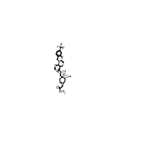 CCN(Cc1ccc(C(F)(F)F)cc1F)c1ncnc(NC[C@]2(O)CCN(CC(N)=O)C[C@@H]2O)c1F